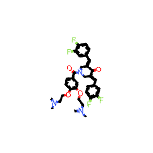 CN(C)CCOc1ccc(C(=O)N2C/C(=C\c3ccc(F)c(F)c3)C(=O)/C(=C/c3ccc(F)c(F)c3)C2)cc1OCCN(C)C